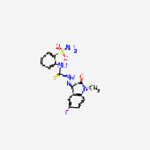 CN1C(=O)C(=NNC(=S)Nc2ccccc2S(N)(=O)=O)c2cc(I)ccc21